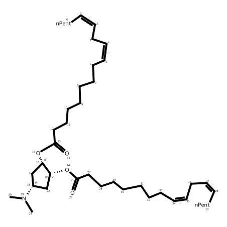 CCCCC/C=C\C/C=C\CCCCCCCC(=O)O[C@H]1C[C@@H](N(C)C)C[C@H]1OC(=O)CCCCCCC/C=C\C/C=C\CCCCC